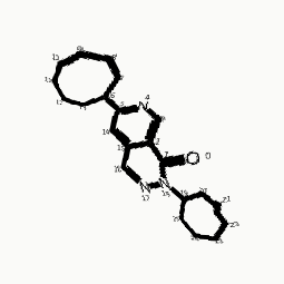 O=c1c2cnc(C3CCCCCCC3)cc2cnn1C1CCCCCC1